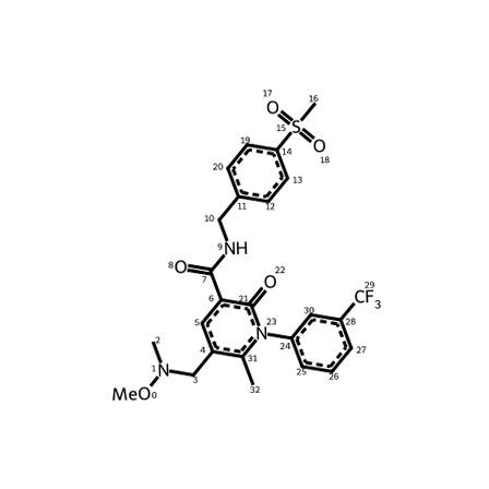 CON(C)Cc1cc(C(=O)NCc2ccc(S(C)(=O)=O)cc2)c(=O)n(-c2cccc(C(F)(F)F)c2)c1C